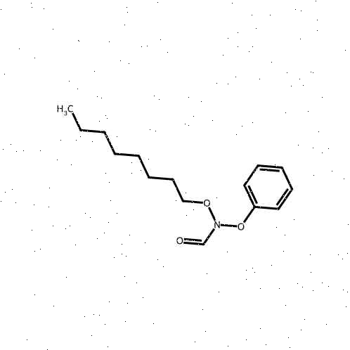 CCCCCCCCON(C=O)Oc1ccccc1